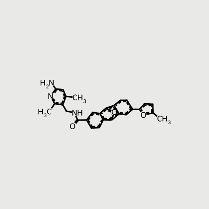 Cc1ccc(-c2ccc3c(c2)c2oc3c3cc(C(=O)NCc4c(C)cc(N)nc4C)ccc32)o1